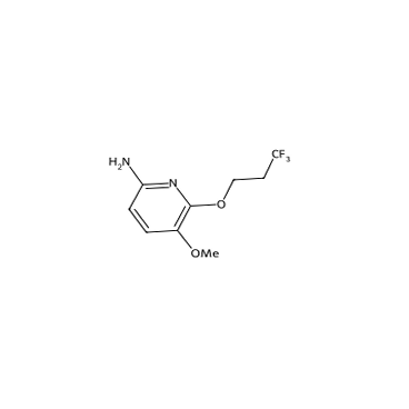 COc1ccc(N)nc1OCCC(F)(F)F